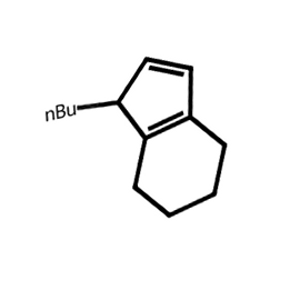 CCCCC1C=CC2=C1CCCC2